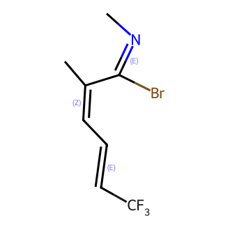 C\N=C(Br)/C(C)=C\C=C\C(F)(F)F